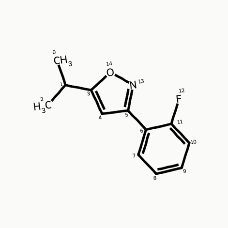 CC(C)c1cc(-c2ccccc2F)no1